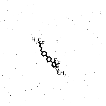 CCOc1ccc(C2CCC(C3CCC(CC/C=C(\F)CC)CC3)CC2)c(F)c1F